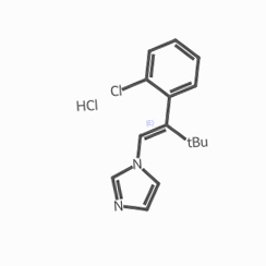 CC(C)(C)/C(=C\n1ccnc1)c1ccccc1Cl.Cl